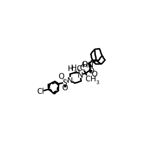 COC(=O)C12CC3CC(C1)C(NC(=O)C(C)(C)N1CCN(S(=O)(=O)c4ccc(Cl)cc4)CC1)C(C3)C2